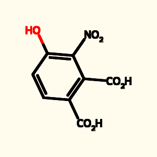 O=C(O)c1ccc(O)c([N+](=O)[O-])c1C(=O)O